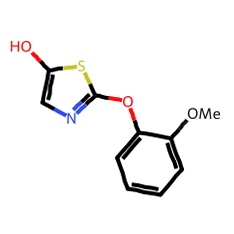 COc1ccccc1Oc1ncc(O)s1